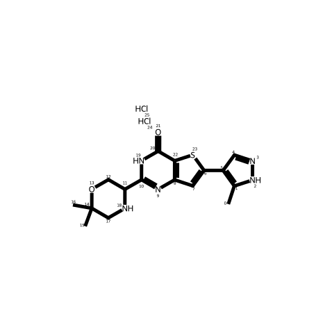 Cc1[nH]ncc1-c1cc2nc(C3COC(C)(C)CN3)[nH]c(=O)c2s1.Cl.Cl